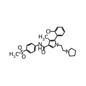 Cc1c(C(=O)Nc2ccc(S(C)(=O)=O)cc2)cn(CCN2CCCC2)c1-c1ccccc1Cl